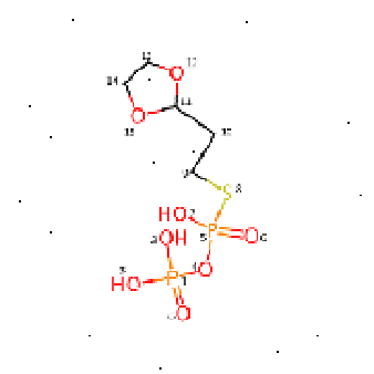 O=P(O)(O)OP(=O)(O)SCCC1OCCO1